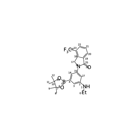 CCNc1cc(B2OC(C)(C)C(C)(C)O2)cc(N2Cc3c(cccc3C(F)(F)F)C2=O)c1